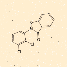 O=c1c2ccccc2sn1-c1cccc(Cl)c1Cl